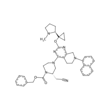 CN1CCC[C@H]1C1(Oc2nc3c(c(N4CCN(C(=O)OCc5ccccc5)[C@@H](CC#N)C4)n2)CCN(c2cccc4ccccc24)C3)CC1